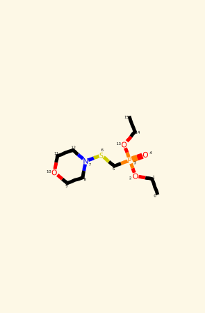 CCOP(=O)(CSN1CCOCC1)OCC